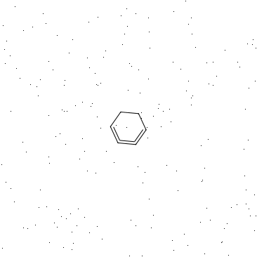 C1=C=CCCC=1